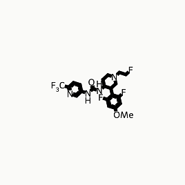 COc1cc(F)c(C2CN(CCF)CCC2NC(=O)Nc2ccc(C(F)(F)F)nc2)c(F)c1